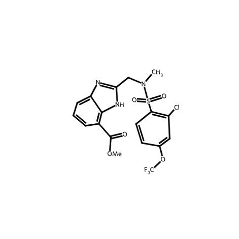 COC(=O)c1cccc2nc(CN(C)S(=O)(=O)c3ccc(OC(F)(F)F)cc3Cl)[nH]c12